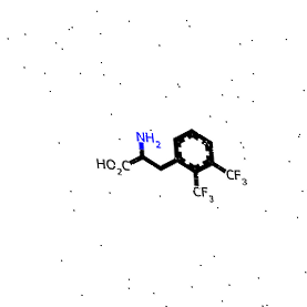 NC(Cc1cccc(C(F)(F)F)c1C(F)(F)F)C(=O)O